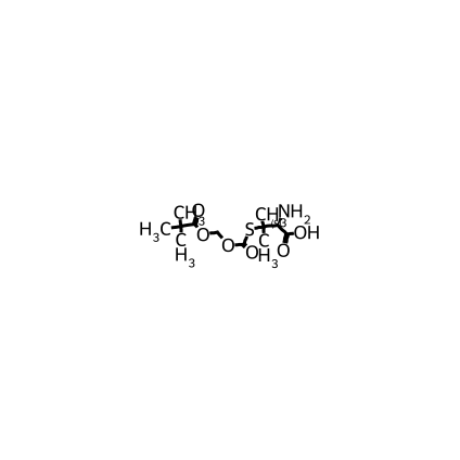 CC(C)(C)C(=O)OCOC(=O)SC(C)(C)[C@@H](N)C(=O)O